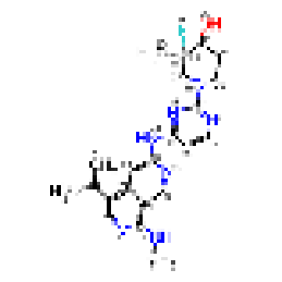 C=C(C)c1cnc(NC)c2cnc(Nc3ccnc(N4CCC(O)[C@](C)(F)C4)n3)cc12